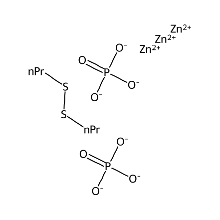 CCCSSCCC.O=P([O-])([O-])[O-].O=P([O-])([O-])[O-].[Zn+2].[Zn+2].[Zn+2]